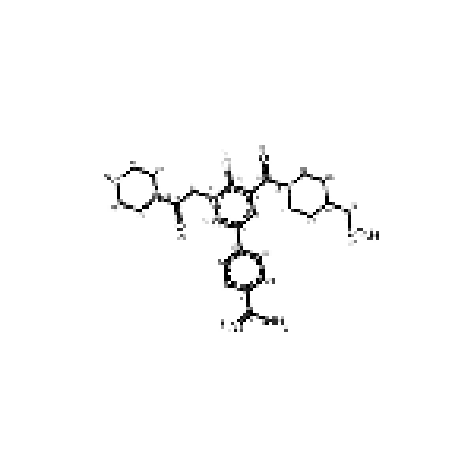 N=C(N)c1ccc(-c2cc(C(=O)N3CCC(CC(=O)O)CC3)c(=O)n(CC(=O)N3CCOCC3)n2)cc1